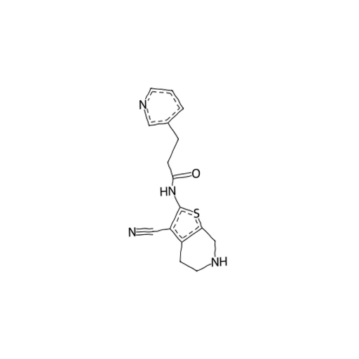 N#Cc1c(NC(=O)CCc2cccnc2)sc2c1CCNC2